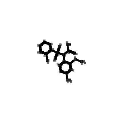 COc1nc(C)cnc1N(C(=O)O)S(=O)(=O)c1cccnc1Cl